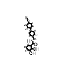 N#Cc1ccc(-c2ccc(CNC(=O)c3cccc(O)c3O)cc2)cc1